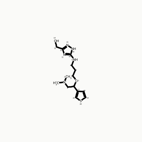 CN(C)CC(OCCCNc1nc(CO)n[nH]1)c1ccsc1